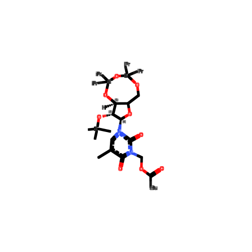 Cc1cn([C@@H]2OC3CO[Si](C(C)C)(C(C)C)O[Si](C(C)C)(C(C)C)O[C@@H]3[C@H]2O[Si](C)(C)C)c(=O)n(COC(=O)C(C)(C)C)c1=O